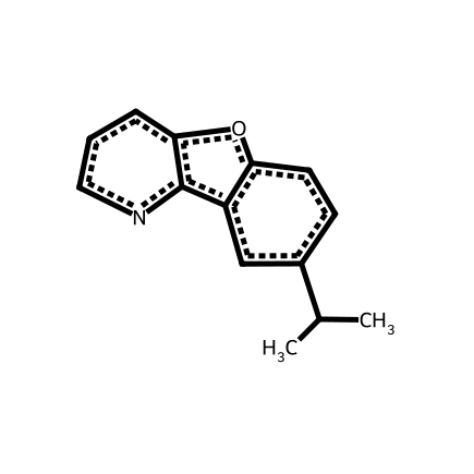 CC(C)c1ccc2oc3cccnc3c2c1